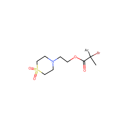 CC(=O)C(C)(Br)C(=O)OCCN1CCS(=O)(=O)CC1